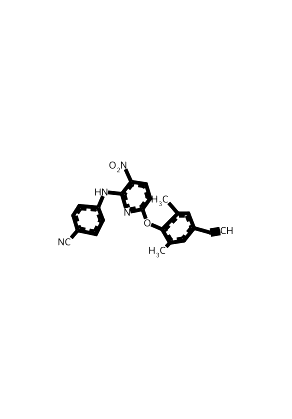 C#Cc1cc(C)c(Oc2ccc([N+](=O)[O-])c(Nc3ccc(C#N)cc3)n2)c(C)c1